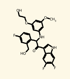 COc1cc(NC(C(=O)c2c[nH]c3cc(F)c(F)cc23)c2ccc(F)cc2CO)cc(OCCO)c1